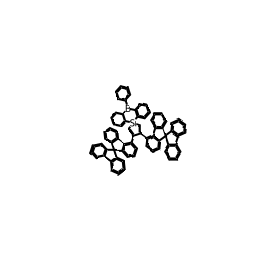 C1=C(c2cccc3c2-c2ccccc2C32c3ccccc3-c3ccccc32)C(c2cccc3c2-c2ccccc2C32c3ccccc3-c3ccccc32)=C[Si]12c1ccccc1B(c1ccccc1)c1ccccc12